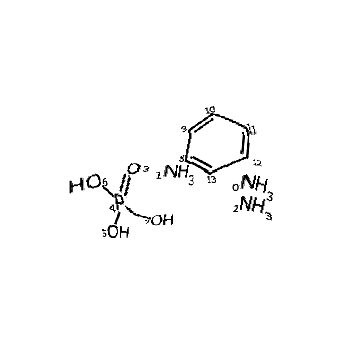 N.N.N.O=P(O)(O)O.c1ccccc1